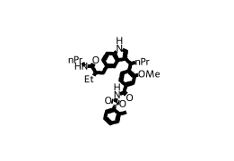 CCCNC(=O)C(CC)Cc1ccc2[nH]cc(C(CCC)c3ccc(C(=O)NS(=O)(=O)c4ccccc4C)cc3OC)c2c1